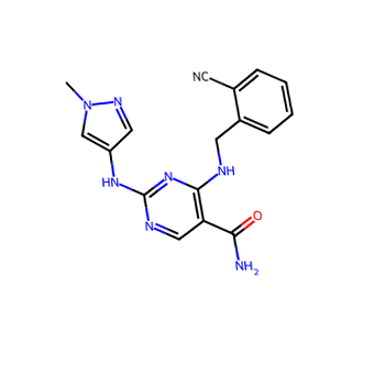 Cn1cc(Nc2ncc(C(N)=O)c(NCc3ccccc3C#N)n2)cn1